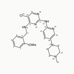 COc1ccccc1CNc1nc(Nc2ccc(N3CCN(C)CC3)cn2)ncc1Cl